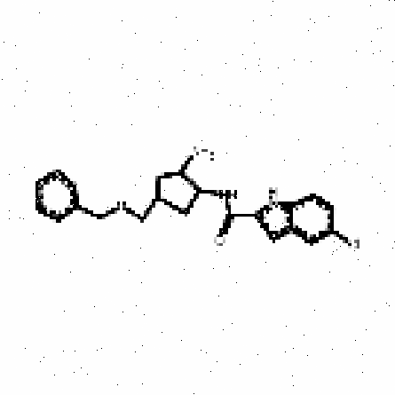 NC1CC(COCc2ccccc2)CC1NC(=O)c1cc2cc(Cl)ccc2[nH]1